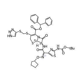 CC(C)(C)OC(=O)Nc1nc(/C(=N/OC2CCCC2)C(=O)N[C@@H]2C(=O)N3C(C(=O)OC(c4ccccc4)c4ccccc4)=C(SCSc4c[nH]nn4)CS[C@H]23)cs1